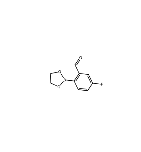 O=Cc1cc(F)ccc1B1OCCO1